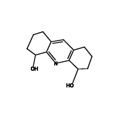 OC1CCCc2cc3c(nc21)C(O)CCC3